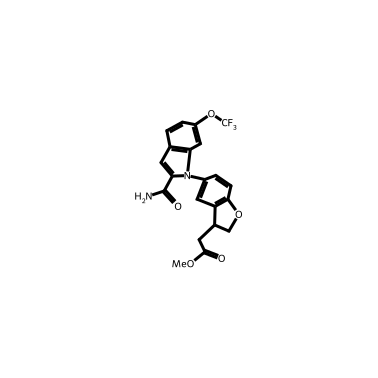 COC(=O)CC1COc2ccc(-n3c(C(N)=O)cc4ccc(OC(F)(F)F)cc43)cc21